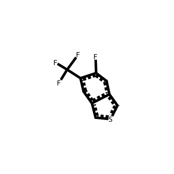 Fc1cc2[c]scc2cc1C(F)(F)F